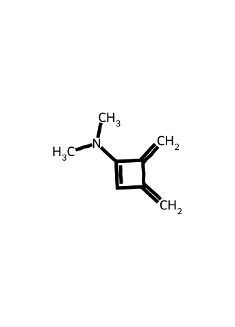 C=C1C=C(N(C)C)C1=C